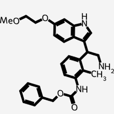 COCCOc1ccc2c(C(CN)c3cccc(NC(=O)OCc4ccccc4)c3C)c[nH]c2c1